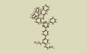 C=Cc1cc(-c2ccc(-c3nc(-c4ccccc4)nc(-c4cccc5c4Sc4cc6ccccc6cc4C54c5ccccc5-c5ccccc54)n3)cc2)ccc1/C=C\C